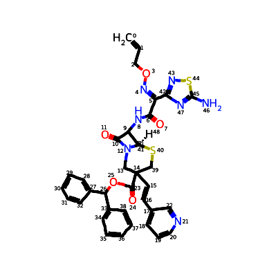 C=CCON=C(C(=O)NC1C(=O)N2CC(C=Cc3cccnc3)(C(=O)OC(c3ccccc3)c3ccccc3)CS[C@H]12)c1nsc(N)n1